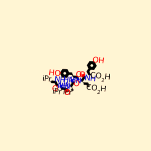 CC(C)C[C@H](NC(=O)[C@@H](NC(=O)[C@@H](N)CC(C)C)C(C)C)C(=O)N[C@@H](Cc1ccc(O)cc1)C(=O)N[C@@H](CCC(=O)O)C(=O)N[C@@H](Cc1ccc(O)cc1)C(=O)O